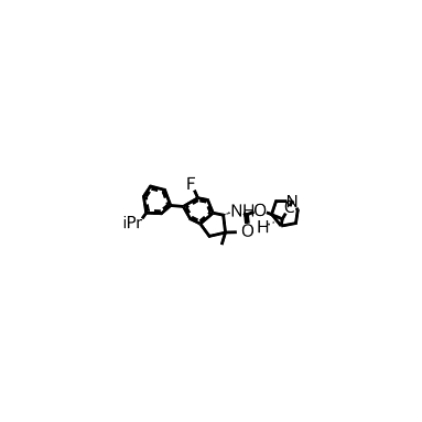 CC(C)c1cccc(-c2cc3c(cc2F)[C@H](NC(=O)O[C@H]2CN4CCC2CC4)C(C)(C)C3)c1